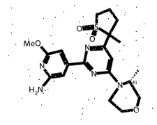 COc1cc(-c2nc(N3CCOC[C@H]3C)cc(C3(C)CCCS3(=O)=O)n2)cc(N)n1